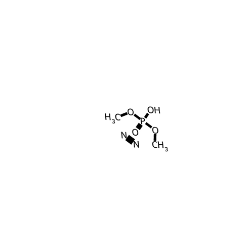 COP(=O)(O)OC.N#N